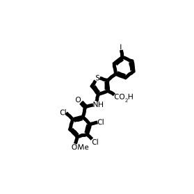 COc1cc(Cl)c(C(=O)Nc2csc(-c3cccc(I)c3)c2C(=O)O)c(Cl)c1Cl